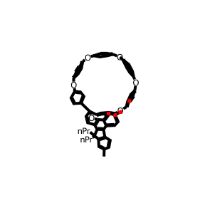 CCCC1(CCC)c2cc(C)ccc2-c2c1c1c(c3cc(C)ccc23)OC2(C=C1)c1ccc(cc1)Oc1ccc(cc1)Oc1ccc(cc1)Oc1ccc(cc1)Oc1ccc(cc1)Oc1ccc2cc1